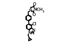 CN1C(=O)CN(Cc2ccc(-c3ccc4c(nnn4CC4CC4)c3Cl)cc2)C1=O